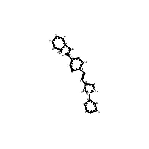 C(=Cc1cnn(-c2ccccc2)n1)c1ccc(-c2cc3ccccc3o2)cc1